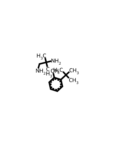 CC(C)(C)c1ccccc1O.CC(C)(N)CN